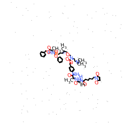 C/C(=C\CCP(=O)(N[C@@H](C)C(=O)OCc1ccccc1)Oc1ccccc1)COCN(CCN(C)C)C(=O)OCc1ccc(NC(=O)[C@H](C)NC(=O)[C@@H](NC(=O)CCCCCN2C(=O)C=CC2=O)C(C)C)cc1